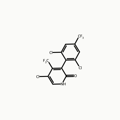 O=c1[nH]cc(Cl)c(C(F)(F)F)c1-c1c(Cl)cc(C(F)(F)F)cc1Cl